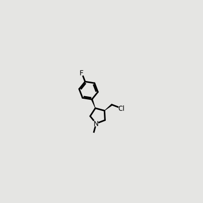 CN1C[C@H](CCl)[C@H](c2ccc(F)cc2)C1